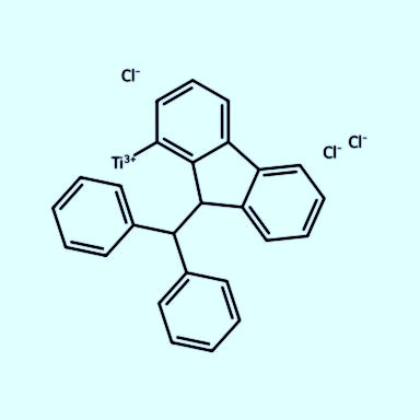 [Cl-].[Cl-].[Cl-].[Ti+3][c]1cccc2c1C(C(c1ccccc1)c1ccccc1)c1ccccc1-2